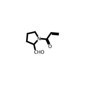 C=CC(=O)N1CCCC1C=O